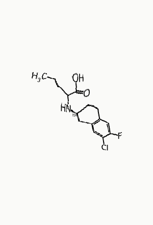 CCCC(N[C@H]1CCc2cc(F)c(Cl)cc2C1)C(=O)O